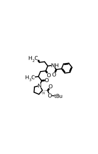 C=CCC(NC(=O)c1ccccc1)C(=O)CC(C)C(=O)N1CCC[C@H]1C(=O)OC(C)(C)C